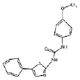 O=C(Nc1ccc(OC(F)(F)F)cc1)Nc1ncc(-c2ccccc2)s1